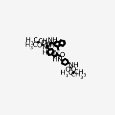 CC(C)(C)OC(=O)NC(=N)c1ccc2cc(C(=O)NC3CCC(NC(=O)OC(C)(C)C)CC3)n(Cc3cc(C(N)=O)cc4ccccc34)c2c1